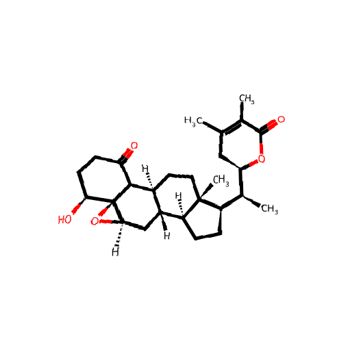 CC1=C(C)C(=O)O[C@@H]([C@@H](C)[C@H]2CC[C@H]3[C@@H]4C[C@H]5O[C@@]56C(C(=O)CC[C@@H]6O)[C@H]4CC[C@]23C)C1